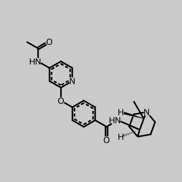 CC(=O)Nc1ccnc(Oc2ccc(C(=O)N[C@@H]3C4CCN(CC4)[C@H]3C)cc2)c1